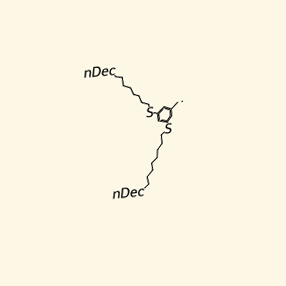 [CH2]c1cc(SCCCCCCCCCCCCCCCCCC)cc(SCCCCCCCCCCCCCCCCCC)c1